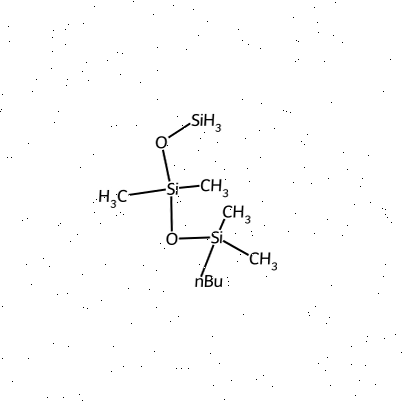 CCCC[Si](C)(C)O[Si](C)(C)O[SiH3]